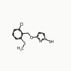 CSc1cccc(Cl)c1COc1ccn(S)n1